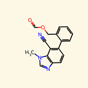 Cn1cnc2ccc(-c3ccccc3COC=O)c(C#N)c21